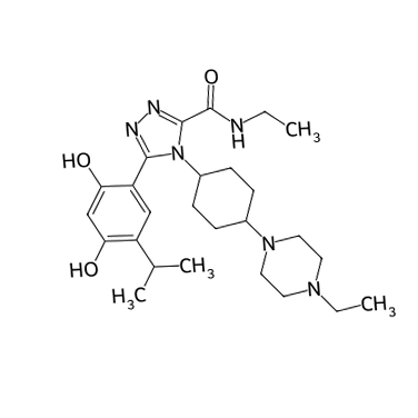 CCNC(=O)c1nnc(-c2cc(C(C)C)c(O)cc2O)n1C1CCC(N2CCN(CC)CC2)CC1